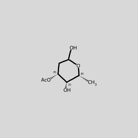 CC(=O)O[C@@H]1CC(O)O[C@H](C)[C@@H]1O